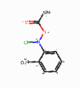 CC(C)(C)C(=O)ON(Cl)c1ccccc1[N+](=O)[O-]